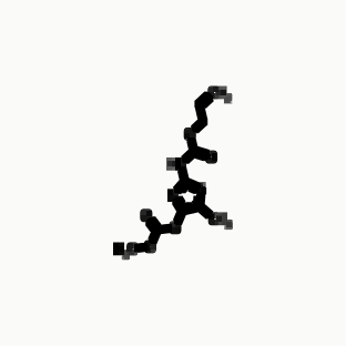 C=CCOC(=O)Nc1nc(OC(=O)OC)c(C)s1